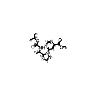 COC(=O)c1cc(-n2ncnc2C(C)NC(=O)OC(C)C)ncn1